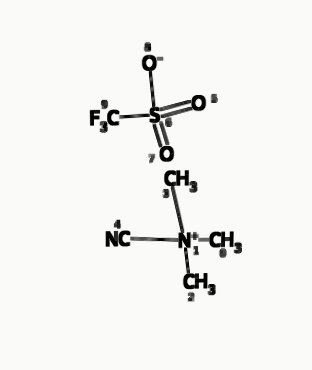 C[N+](C)(C)C#N.O=S(=O)([O-])C(F)(F)F